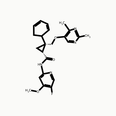 COc1cc(NC(=O)[C@@H]2C[C@@]2(COc2cnc(C)nc2C)C2C=CC=CC2)ncc1F